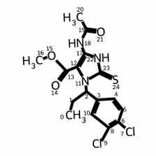 CCC(c1ccc(Cl)c(Cl)c1)n1c(C(=O)OC)c(NC(C)=O)[nH]c1=S